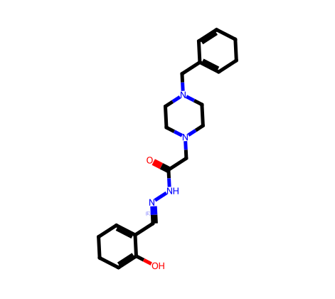 O=C(CN1CCN(CC2=CCCC=C2)CC1)N/N=C/C1=CCCC=C1O